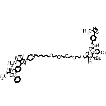 C=CC(=O)Nc1cc(-c2nn(C3CCN(CCCCCCOCCOCCOCCOCCOCC(=O)N[C@H](C(=O)N4C[C@H](O)C[C@H]4C(=O)NCc4ccc(-c5scnc5C)cc4)C(C)(C)C)CC3)c3ncnc(N)c23)ccc1Oc1ccccc1